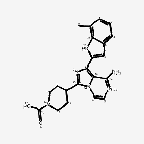 Cc1cccc2cc(-c3nc(C4CCN(C(=O)O)CC4)n4ccnc(N)c34)[nH]c12